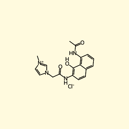 CC(=O)Nc1cccc2ccc(NC(=O)Cn3cc[n+](C)c3)c(O)c12.[Cl-]